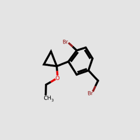 CCOC1(c2cc(CBr)ccc2Br)CC1